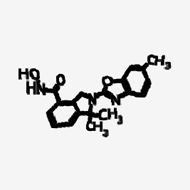 Cc1ccc2nc(N3Cc4c(C(=O)NO)cccc4C3(C)C)oc2c1